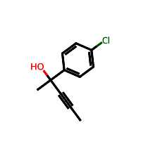 CC#CC(C)(O)c1ccc(Cl)cc1